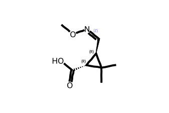 CO/N=C\[C@@H]1[C@@H](C(=O)O)C1(C)C